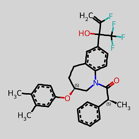 C=C(F)C(O)(c1ccc2c(c1)CC[C@H](Oc1ccc(C)c(C)c1)CN2C(=O)[C@@H](C)c1ccccc1)C(F)(F)F